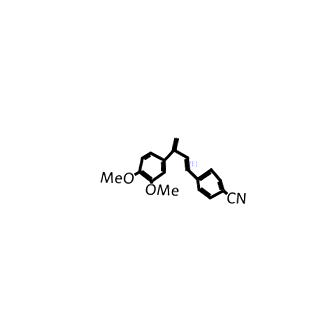 C=C(/C=C/c1ccc(C#N)cc1)c1ccc(OC)c(OC)c1